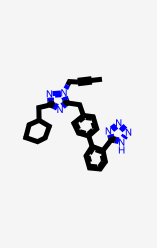 CC#CCn1nc(CC2CCCCC2)nc1Cc1ccc(-c2ccccc2-c2nnn[nH]2)cc1